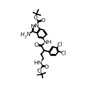 CC(C)(C)OC(=O)NCCC(C(=O)Nc1ccc2c(c1)c(N)nn2C(=O)OC(C)(C)C)c1ccc(Cl)c(Cl)c1